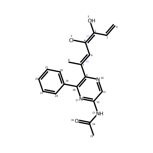 C=C/C(O)=C(Cl)\C=C(/C)c1ncc(NC(C)=O)nc1-c1ccccc1